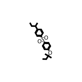 CCC(C)c1ccc(S(=O)(=O)c2ccc(OC(C)(C)CC)cc2)cc1